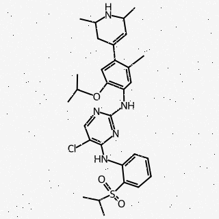 Cc1cc(Nc2ncc(Cl)c(Nc3ccccc3S(=O)(=O)C(C)C)n2)c(OC(C)C)cc1C1=CC(C)NC(C)C1